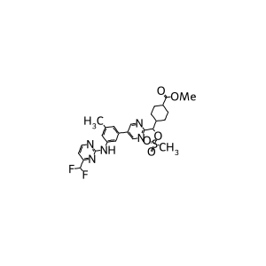 COC(=O)C1CCC(C(OS(C)(=O)=O)c2ncc(-c3cc(C)cc(Nc4nccc(C(F)F)n4)c3)cn2)CC1